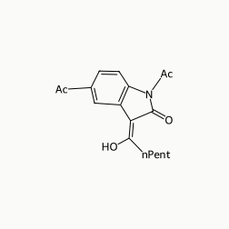 CCCCCC(O)=C1C(=O)N(C(C)=O)c2ccc(C(C)=O)cc21